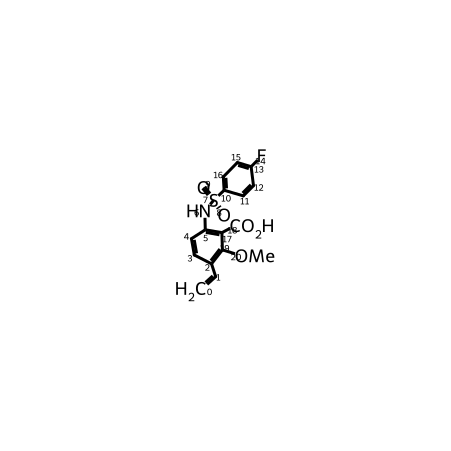 C=Cc1ccc(NS(=O)(=O)c2ccc(F)cc2)c(C(=O)O)c1OC